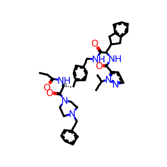 CCC(=O)N[C@H](Cc1ccc(CNC(=O)C(NC(=O)c2ccnn2C(C)C)C2Cc3ccccc3C2)cc1)C(=O)N1CCN(Cc2ccccc2)CC1